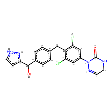 O=C1NCC=NN1c1cc(Cl)c(Cc2ccc(C(O)c3cc[nH]n3)cc2)c(Cl)c1